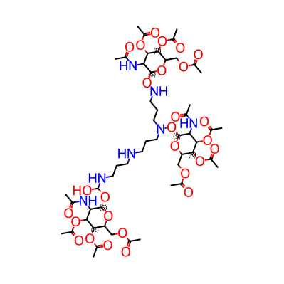 CC(=O)NC1C(OC(C)=O)[C@@H](OC(C)=O)C(COC(C)=O)O[C@H]1ONCCCN(CCCNCCCNC(O)O[C@@H]1OC(COC(C)=O)[C@H](OC(C)=O)C(OC(C)=O)C1NC(C)=O)O[C@@H]1OC(COC(C)=O)[C@H](OC(C)=O)C(OC(C)=O)C1NC(C)=O